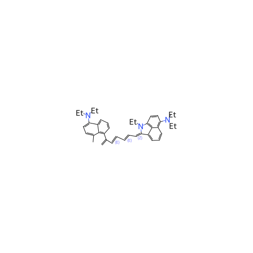 C=C(/C=C/C=C/C=c1/c2cccc3c(N(CC)CC)ccc(c32)n1CC)c1cccc2c(N(CC)CC)ccc(C)c12